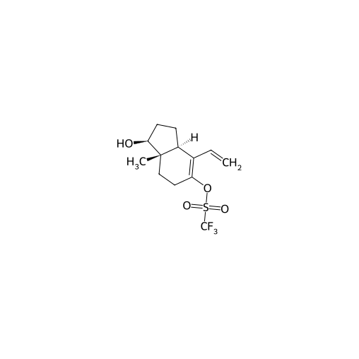 C=CC1=C(OS(=O)(=O)C(F)(F)F)CC[C@]2(C)[C@@H](O)CC[C@@H]12